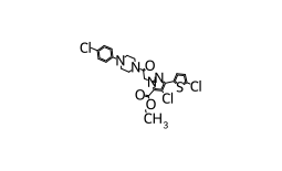 CCOC(=O)c1c(Cl)c(-c2ccc(Cl)s2)nn1CC(=O)N1CCN(c2ccc(Cl)cc2)CC1